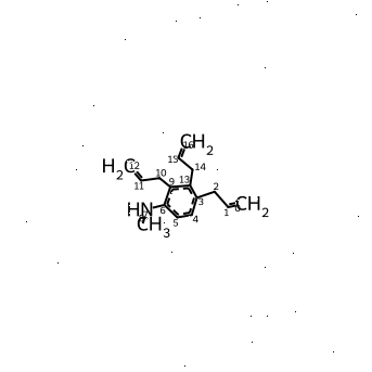 C=CCc1ccc(NC)c(CC=C)c1CC=C